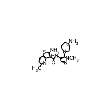 Cc1ccc2sc(N)c(C(=O)Nc3cnn(C)c3N3CCC[C@H](N)CC3)c2n1